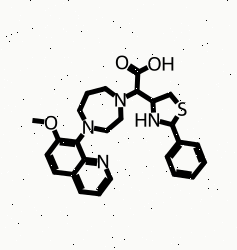 COc1ccc2cccnc2c1N1CCCN(C(C(=O)O)C2CSC(c3ccccc3)N2)CC1